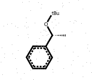 C[C@@H](OC(C)(C)C)c1ccccc1